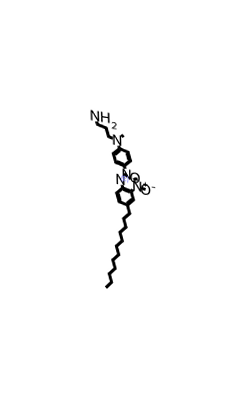 CCCCCCCCCCCCc1ccc(/N=N/c2ccc(N(C)CCCN)cc2)c([N+](=O)[O-])c1